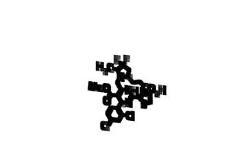 COC(=O)C1=C(CN2C(C)C(F)(F)C[C@H]2CCC(=O)O)NC(c2nccs2)=N[C@H]1c1ccc(Cl)cc1Cl